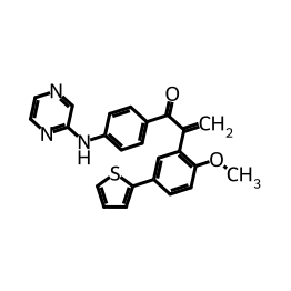 C=C(C(=O)c1ccc(Nc2cnccn2)cc1)c1cc(-c2cccs2)ccc1OC